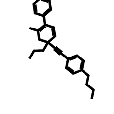 CCCCc1ccc(C#CC2(CCC)C=CC(c3ccccc3)=C(C)C2)cc1